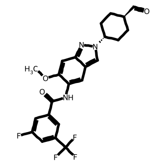 COc1cc2nn([C@H]3CC[C@H](C=O)CC3)cc2cc1NC(=O)c1cc(F)cc(C(F)(F)F)c1